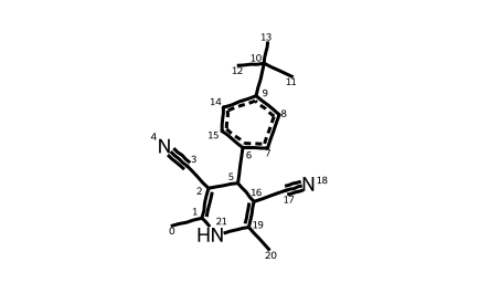 CC1=C(C#N)C(c2ccc(C(C)(C)C)cc2)C(C#N)=C(C)N1